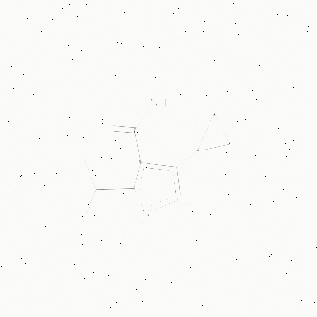 CC(C)c1noc(C2CC2)c1C(N)=O